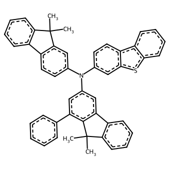 CC1(C)c2ccccc2-c2ccc(N(c3cc(-c4ccccc4)c4c(c3)-c3ccccc3C4(C)C)c3ccc4c(c3)sc3ccccc34)cc21